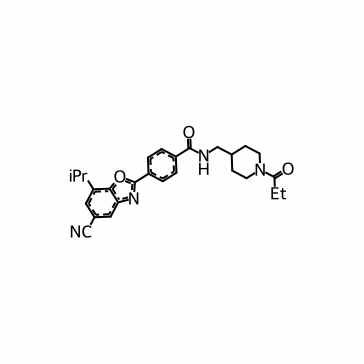 [CH2]CC(=O)N1CCC(CNC(=O)c2ccc(-c3nc4cc(C#N)cc(C(C)C)c4o3)cc2)CC1